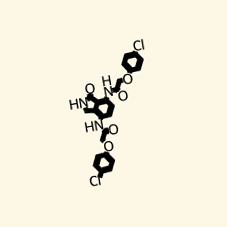 O=C(COc1ccc(Cl)cc1)Nc1ccc(NC(=O)COc2ccc(Cl)cc2)c2c1CNC2=O